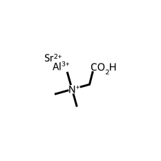 C[N+](C)(C)CC(=O)O.[Al+3].[Sr+2]